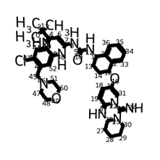 CC(C)(C)C(=N)/C=C(/NC(=O)N[C@H]1CCC(Oc2ccc(=N)n(C(=N)N3CCCCC3)c2)c2ccccc21)Nc1ccc(Cl)c(CN2CCOCC2)c1